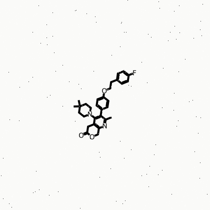 Cc1nc2c(c(N3CCC(C)(C)CC3)c1-c1ccc(OCCc3ccc(F)cc3)cc1)CC(=O)OC2